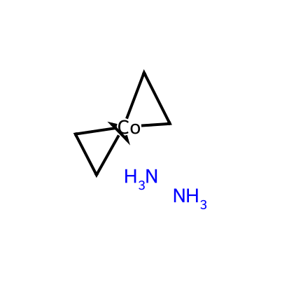 N.N.[CH2]1[CH2][Co]123([CH2][CH2]2)[CH2][CH2]3